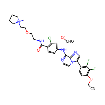 C[N+]1(CCOCCNC(=O)c2ccc(Nc3nccn4c(-c5ccc(OCC#N)c(F)c5F)cnc34)cc2Cl)CCCC1.O=C[O-]